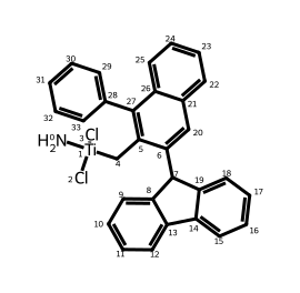 [NH2][Ti]([Cl])([Cl])[CH2]c1c(C2c3ccccc3-c3ccccc32)cc2ccccc2c1-c1ccccc1